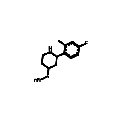 CCCSC1CCNC(c2ccc(F)cc2C)C1